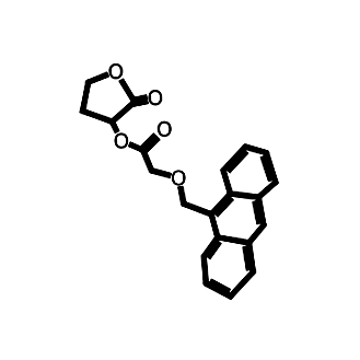 O=C(COCc1c2ccccc2cc2ccccc12)OC1CCOC1=O